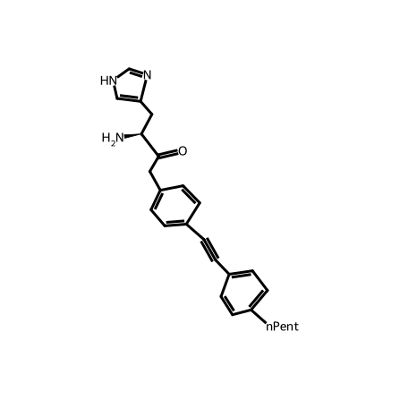 CCCCCc1ccc(C#Cc2ccc(CC(=O)[C@@H](N)Cc3c[nH]cn3)cc2)cc1